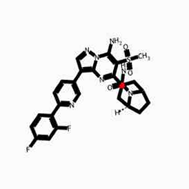 CS(=O)(=O)c1c(C2CC3CC[C@@H](C2)N3C(N)=O)nc2c(-c3ccc(-c4ccc(F)cc4F)nc3)cnn2c1N